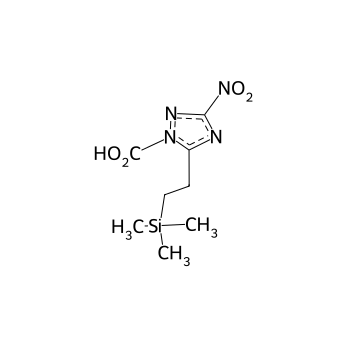 C[Si](C)(C)CCc1nc([N+](=O)[O-])nn1C(=O)O